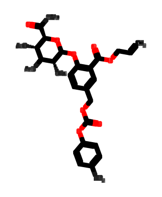 C=CCOC(=O)c1cc(COC(=O)Oc2ccc([N+](=O)[O-])cc2)ccc1OC1O[C@H](C(=O)OC)[C@@H](OC(C)=O)C(OC(C)=O)[C@H]1OC(C)=O